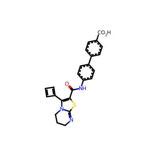 O=C(Nc1ccc(-c2ccc(C(=O)O)cc2)cc1)C1=C(C2=CC=C2)N2CCCN=C2S1